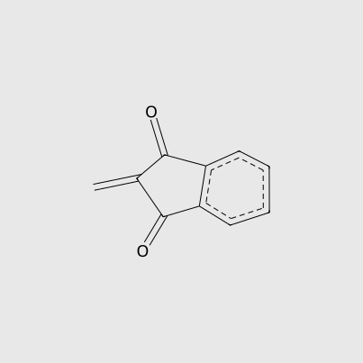 C=C1C(=O)c2ccccc2C1=O